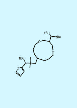 CC(C)(C)C(C1CCCCCC(CC(C)(C)C(c2ccco2)C(C)(C)C)CCCCC1)C(C)(C)C